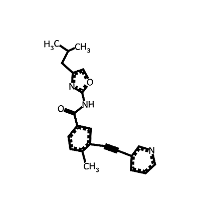 Cc1ccc(C(=O)Nc2nc(CC(C)C)co2)cc1C#Cc1cccnc1